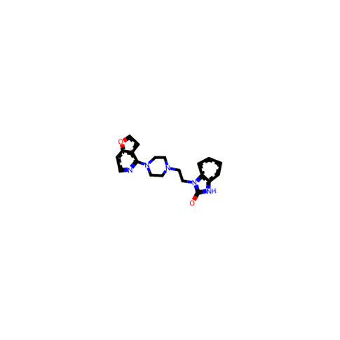 O=c1[nH]c2ccccc2n1CCN1CCN(c2nccc3occc23)CC1